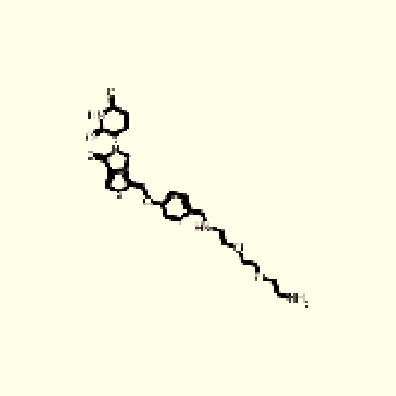 NCCOCCOCCNCc1ccc(OCc2scc3c2CN([C@H]2CCC(=O)NC2=O)C3=O)cc1